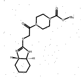 CC(C)(C)OC(=O)N1CCN(C(=O)CSC2=N[C@H]3CCCC[C@@H]3N2)CC1